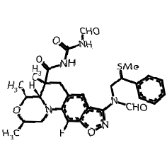 CSC(CN(C=O)c1noc2c(F)c3c(cc12)CC(C)(C(=O)NC(=O)NC=O)[C@H]1[C@H](C)O[C@H](C)CN31)c1ccccc1